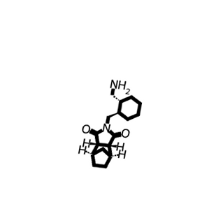 NC[C@@H]1CCCC[C@H]1CN1C(=O)[C@@H]2[C@H]3CC[C@H](C3)[C@@H]2C1=O